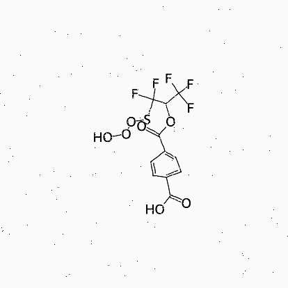 O=C(O)c1ccc(C(=O)OC(C(F)(F)F)C(F)(F)SOOO)cc1